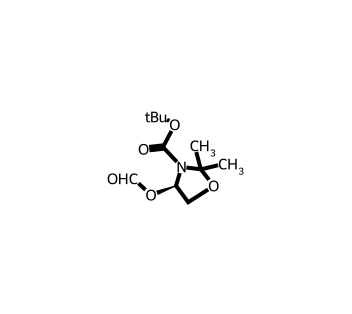 CC(C)(C)OC(=O)N1[C@H](OC=O)COC1(C)C